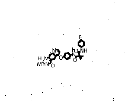 CNC(=O)c1cc2c(Oc3ccc(NC(=O)C4(C(=O)Nc5ccc(F)cc5)CC4)cc3)ccnc2cc1N